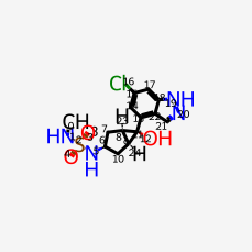 CNS(=O)(=O)N[C@H]1C[C@@H]2[C@H](C1)[C@@]2(O)c1cc(Cl)cc2[nH]ncc12